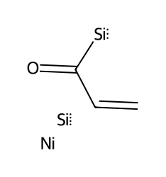 C=CC(=O)[Si].[Ni].[Si]